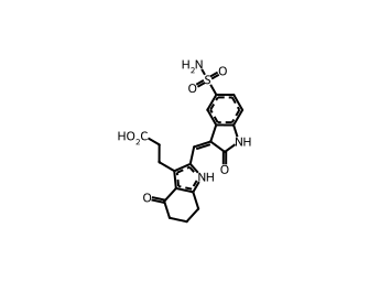 NS(=O)(=O)c1ccc2c(c1)/C(=C/c1[nH]c3c(c1CCC(=O)O)C(=O)CCC3)C(=O)N2